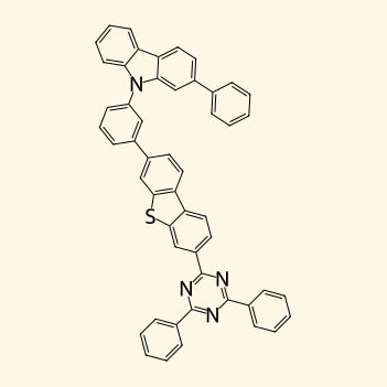 c1ccc(-c2ccc3c4ccccc4n(-c4cccc(-c5ccc6c(c5)sc5cc(-c7nc(-c8ccccc8)nc(-c8ccccc8)n7)ccc56)c4)c3c2)cc1